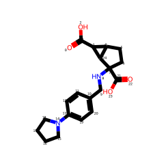 O=C(O)C1C2CCC(NCc3ccc(N4CCCC4)cc3)(C(=O)O)C21